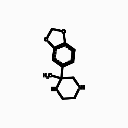 CC1(c2ccc3c(c2)OCO3)CNCCN1